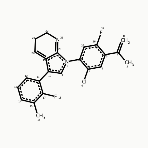 C=C(C)c1cc(Cl)c(-n2cc(-c3cccc(C)c3F)c3c2=NCCC=3)cc1F